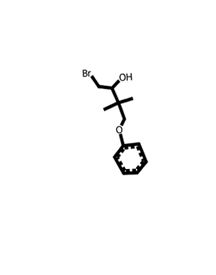 CC(C)(COc1ccccc1)C(O)CBr